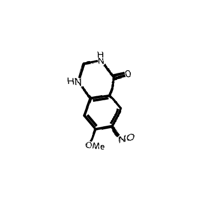 COc1cc2c(cc1N=O)C(=O)NCN2